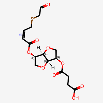 O=CCSC/C=C\C(=O)O[C@@H]1CO[C@H]2[C@@H]1OC[C@H]2OC(=O)CCC(=O)O